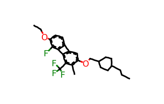 CCCC1CCC(COc2cc3c(c(C(F)(F)F)c2C)-c2c-3ccc(OCC)c2F)CC1